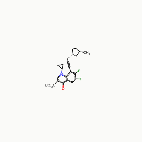 CCOC(=O)c1cn(C2CC2)c2c(C#CC[C@@H]3CC[C@@H](C)C3)c(F)c(F)cc2c1=O